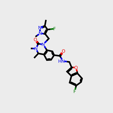 Cc1nn(C)c(CN2C(=O)N(C)C(C)c3ccc(C(=O)NCc4cc5cc(F)ccc5o4)cc32)c1F